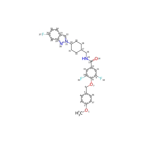 COc1ccc(COc2c(F)cc(C(=O)NCC3CCC(n4cc5ccc(F)cc5n4)CC3)cc2F)cc1